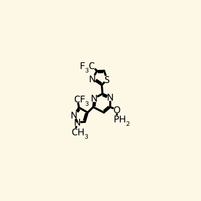 Cn1cc(-c2cc(OP)nc(-c3nc(C(F)(F)F)cs3)n2)c(C(F)(F)F)n1